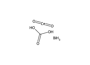 O=C(O)O.[BiH3].[O]=[Ce]=[O]